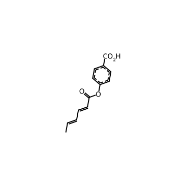 CC=CC=CC(=O)Oc1ccc(C(=O)O)cc1